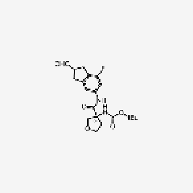 CC(C)(C)OC(=O)N[C@@]1(C(=O)Nc2cc(F)c3c(c2)CC(C=O)C3)CCOC1